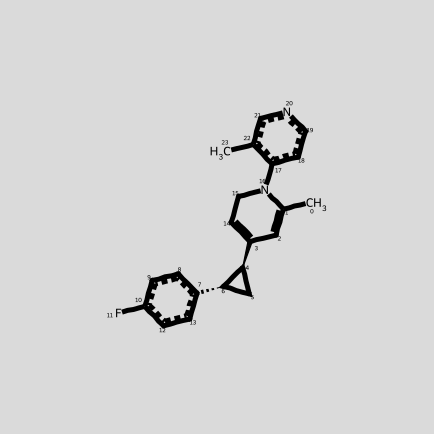 CC1=CC([C@H]2C[C@@H]2c2ccc(F)cc2)=CCN1c1ccncc1C